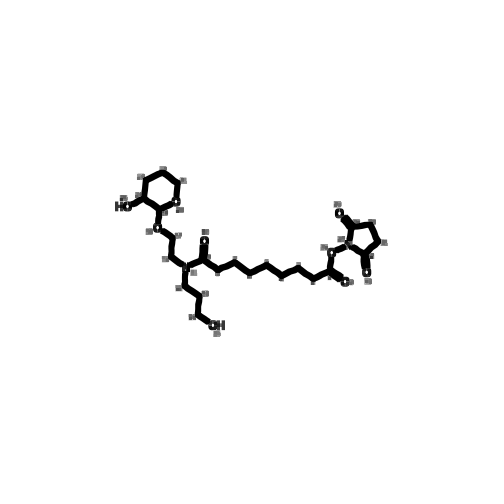 O=C(CCCCCCCC(=O)N(CCCO)CCOC1OCCCC1O)ON1C(=O)CCC1=O